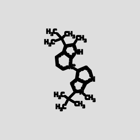 Cc1[nH]c2c(ccc[n+]2-c2ccnc3c2cc(C(C)(C)C)n3C)c1C(C)(C)C